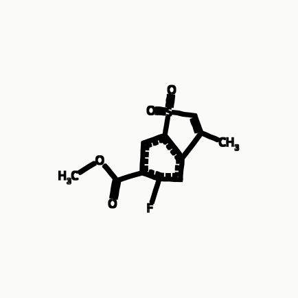 COC(=O)c1cc2c(cc1F)C(C)=CS2(=O)=O